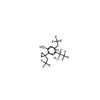 CC(C)(c1cc(C2(CC(F)(F)F)CC2)c(O)cc1CC(F)(F)F)C(F)(F)F